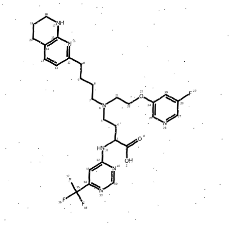 O=C(O)C(CCN(CCCCc1ccc2c(n1)NCCC2)CCOc1cncc(F)c1)Nc1cc(C(F)(F)F)ncn1